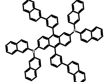 c1cc(-c2ccc3ccccc3c2)cc(-c2c3ccc(N(c4ccc5ccccc5c4)c4ccc5ccccc5c4)cc3c(-c3cccc(-c4ccc5ccccc5c4)c3)c3ccc(N(c4ccc5ccccc5c4)c4ccc5ccccc5c4)cc23)c1